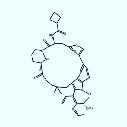 C=C/C(=C(\N=C/C)[C@H](C)OC)c1c2c3cc(ccc3n1CC)-c1csc(n1)C[C@H](NC(=O)C1CCC1)C(=O)N1CCC[C@@](C)(N1)C(=O)OCC(C)(C)C2